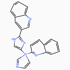 [C]1=C[N+](c2c[nH]c(-c3cnc4ccccc4c3)n2)(c2ccc3ccccc3n2)C=N1